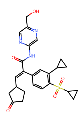 O=C1CCC(C=C(C(=O)Nc2cnc(CO)cn2)c2ccc(S(=O)(=O)C3CC3)c(C3CC3)c2)C1